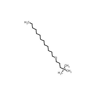 CCCCCCCCCCCCCOCCC[N+](C)(C)C